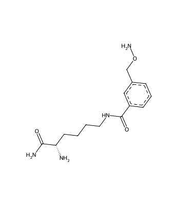 NOCc1cccc(C(=O)NCCCC[C@H](N)C(N)=O)c1